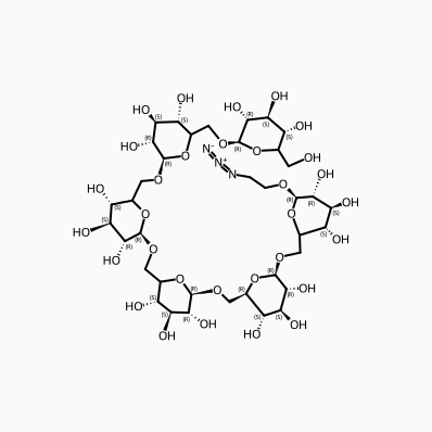 [N-]=[N+]=NCCO[C@@H]1OC(CO[C@@H]2O[C@H](CO[C@@H]3OC(CO[C@@H]4OC(CO[C@@H]5OC(CO[C@@H]6OC(CO)[C@@H](O)[C@H](O)[C@H]6O)[C@@H](O)[C@H](O)[C@H]5O)[C@@H](O)[C@H](O)[C@H]4O)[C@@H](O)[C@H](O)[C@H]3O)[C@@H](O)[C@H](O)[C@H]2O)[C@@H](O)[C@H](O)[C@H]1O